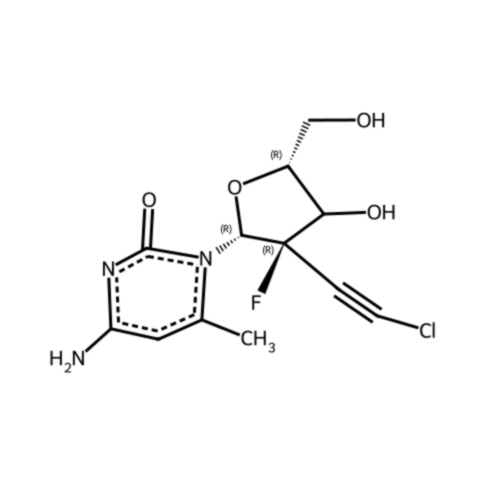 Cc1cc(N)nc(=O)n1[C@@H]1O[C@H](CO)C(O)[C@]1(F)C#CCl